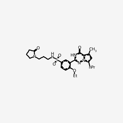 CCCc1cc(C)c2c(=O)[nH]c(-c3cc(S(=O)(=O)NCCCN4CCCC4=O)ccc3OCC)nn12